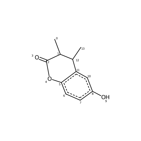 CC1C(=O)Oc2ccc(O)cc2C1C